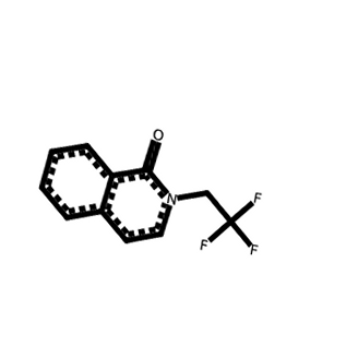 O=c1c2ccccc2ccn1CC(F)(F)F